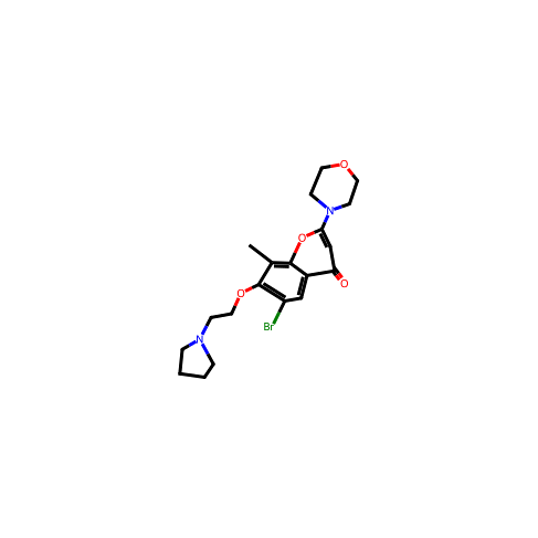 Cc1c(OCCN2CCCC2)c(Br)cc2c(=O)cc(N3CCOCC3)oc12